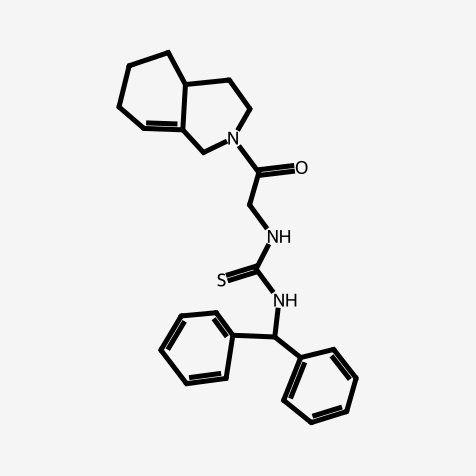 O=C(CNC(=S)NC(c1ccccc1)c1ccccc1)N1CCC2CCCC=C2C1